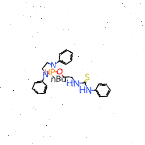 CCCC[PH]1(OCCNC(=S)Nc2ccccc2)N(c2ccccc2)CCN1c1ccccc1